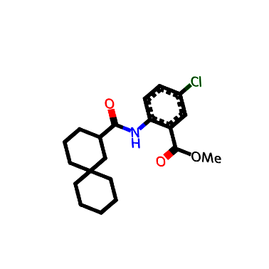 COC(=O)c1cc(Cl)ccc1NC(=O)C1CCCC2(CCCCC2)C1